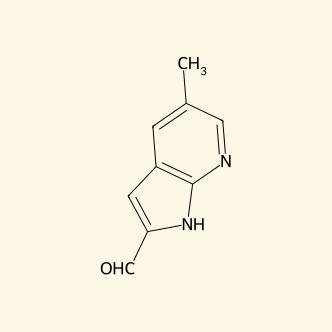 Cc1cnc2[nH]c(C=O)cc2c1